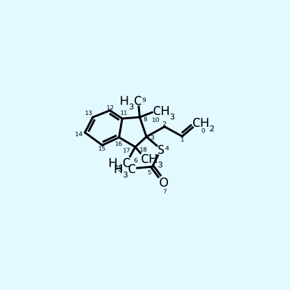 C=CCC1(SC(C)=O)C(C)(C)c2ccccc2C1(C)C